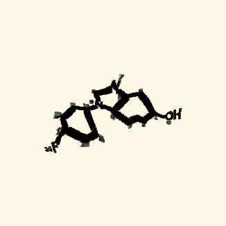 Oc1ccc2c(c1)ncn2-c1ccc(F)cc1